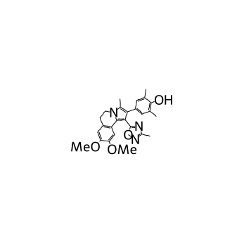 COc1cc2c(cc1OC)-c1c(-c3nc(C)no3)c(-c3cc(C)c(O)c(C)c3)c(C)n1CC2